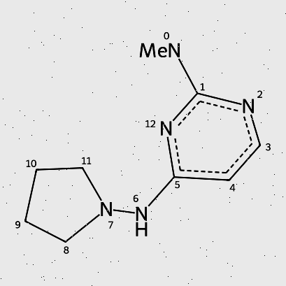 CNc1nccc(NN2CCCC2)n1